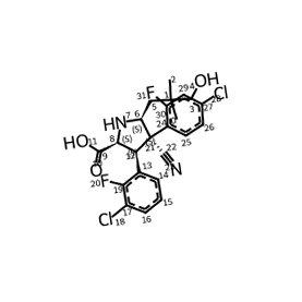 CC(C)(CO)C[C@@H]1N[C@H](C(=O)O)[C@H](c2cccc(Cl)c2F)[C@]1(C#N)c1ccc(Cl)cc1F